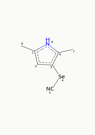 Cc1cc([Se]C#N)c(C)[nH]1